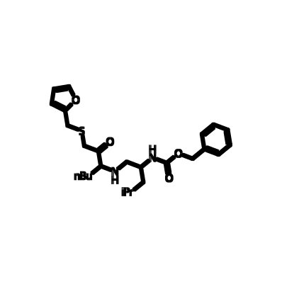 CCCCC(NCC(CC(C)C)NC(=O)OCc1ccccc1)C(=O)CSCc1ccco1